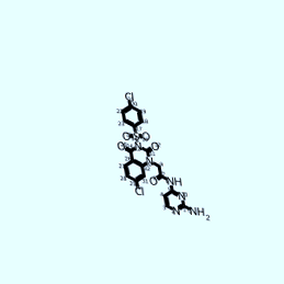 Nc1nccc(NC(=O)Cn2c(=O)n(S(=O)(=O)c3ccc(Cl)cc3)c(=O)c3ccc(Cl)cc32)n1